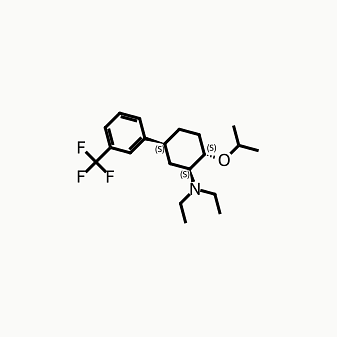 CCN(CC)[C@H]1C[C@@H](c2cccc(C(F)(F)F)c2)CC[C@@H]1OC(C)C